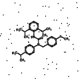 CSc1ccc(CN(C(=O)Nc2c(C(C)C)cccc2C(C)C)c2ccc(C(C)C)cc2)cc1